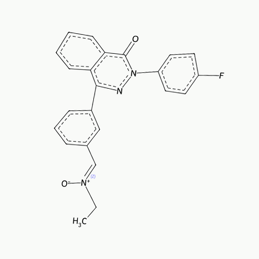 CC/[N+]([O-])=C/c1cccc(-c2nn(-c3ccc(F)cc3)c(=O)c3ccccc23)c1